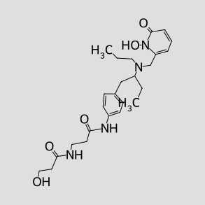 CCCN(Cc1cccc(=O)n1O)C(CC)Cc1ccc(NC(=O)CCNC(=O)CCO)cc1